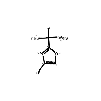 CCCCCC(C)(CCCC)c1nc(C)co1